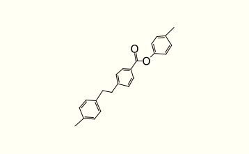 Cc1ccc(CCc2ccc(C(=O)Oc3ccc(C)cc3)cc2)cc1